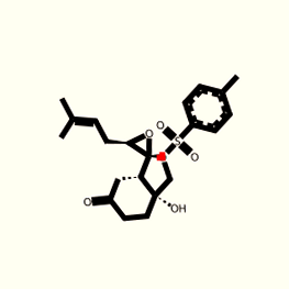 CC(C)=CC[C@H]1O[C@]1(C)[C@H]1CC(=O)CC[C@]1(O)COS(=O)(=O)c1ccc(C)cc1